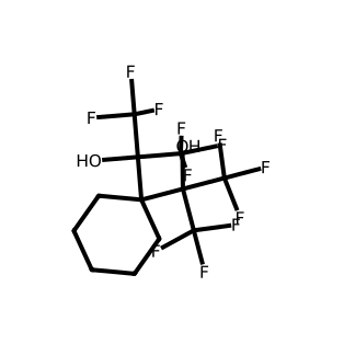 OC(C(F)(F)F)(C(F)(F)F)C1(C(O)(C(F)(F)F)C(F)(F)F)CCCCC1